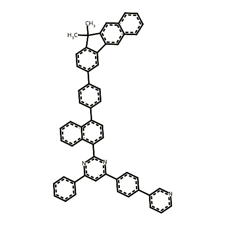 CC1(C)c2ccc(-c3ccc(-c4ccc(-c5nc(-c6ccccc6)cc(-c6ccc(-c7cccnc7)cc6)n5)c5ccccc45)cc3)cc2-c2cc3ccccc3cc21